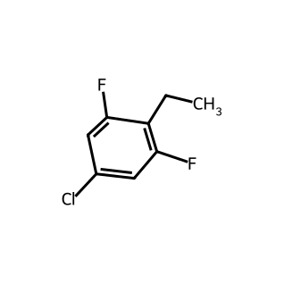 CCc1c(F)cc(Cl)cc1F